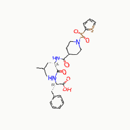 CC(C)C[C@H](NC(=O)C1CCN(S(=O)(=O)c2cccs2)CC1)C(=O)N[C@@H](Cc1ccccc1)C(=O)O